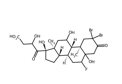 C[C@]12CC(O)[C@H]3[C@@H](CC(F)C4(O)CC(=O)C(Br)(Br)C[C@]34C)[C@@H]1CC[C@]2(O)C(=O)C(O)CC(=O)O